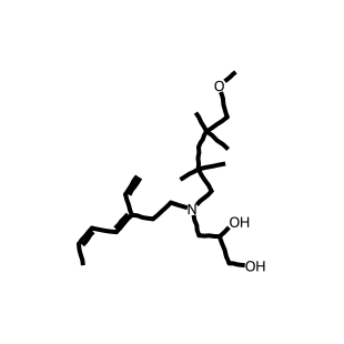 C=C/C(=C\C=C/C)CCN(CC(O)CO)CC(C)(C)CC(C)(C)COC